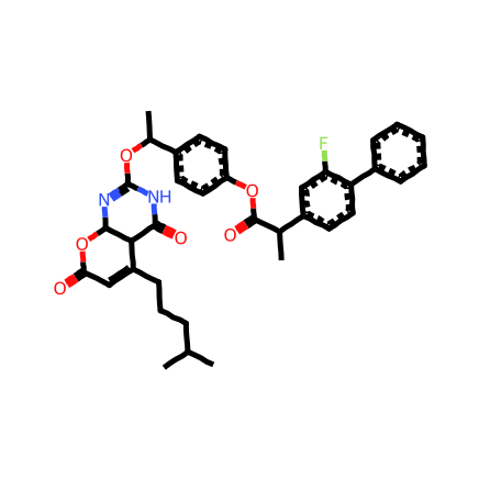 CC(C)CCCC1=CC(=O)OC2N=C(OC(C)c3ccc(OC(=O)C(C)c4ccc(-c5ccccc5)c(F)c4)cc3)NC(=O)C12